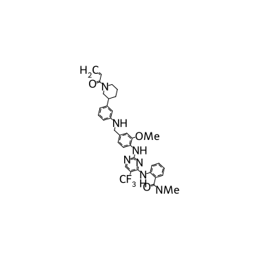 C=CC(=O)N1CCCC(c2cccc(NCc3ccc(Nc4ncc(C(F)(F)F)c(Nc5ccccc5C(=O)NC)n4)c(OC)c3)c2)C1